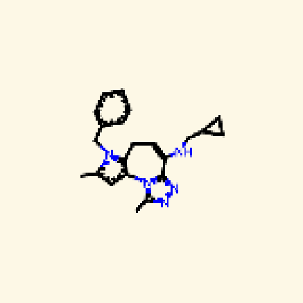 Cc1cc2c(n1Cc1ccccc1)CC=C(NCC1CC1)c1nnc(C)n1-2